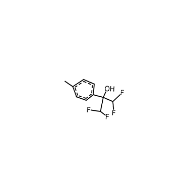 Cc1ccc(C(O)(C(F)F)C(F)F)cc1